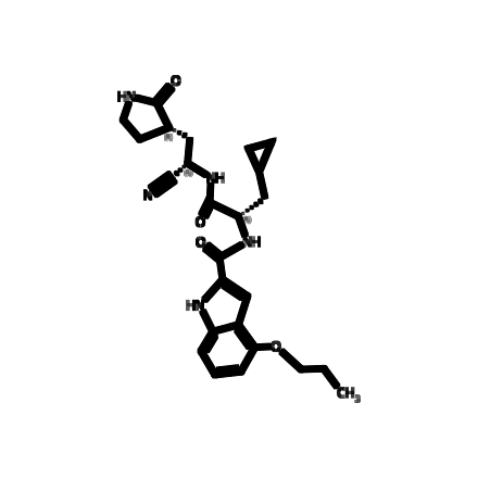 CCCOc1cccc2[nH]c(C(=O)N[C@@H](CC3CC3)C(=O)N[C@H](C#N)C[C@@H]3CCNC3=O)cc12